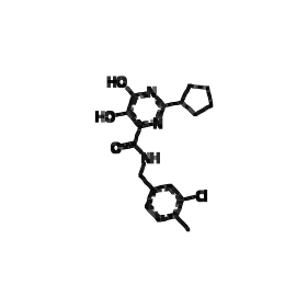 Cc1ccc(CNC(=O)c2nc(C3CCCC3)nc(O)c2O)cc1Cl